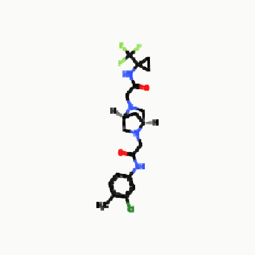 Cc1ccc(NC(=O)CN2C[C@@H]3C[C@H]2CN3CC(=O)NC2(C(F)(F)F)CC2)cc1Cl